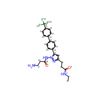 CCNC(=O)CCc1cc(-c2ccc(-c3ccc(C(F)(F)F)cc3)cc2)n(NC(=O)CCN)n1